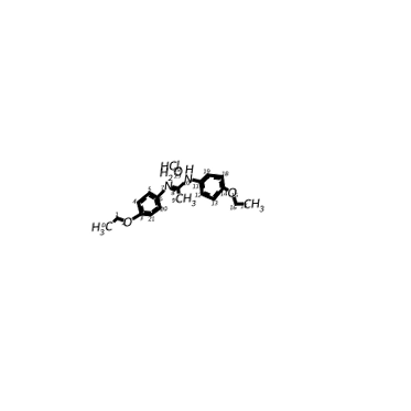 CCOc1ccc(/N=C(\C)Nc2ccc(OCC)cc2)cc1.Cl.O